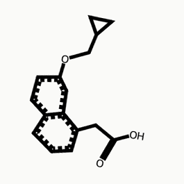 O=C(O)Cc1cccc2ccc(OCC3CC3)cc12